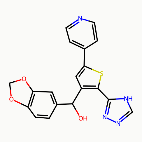 OC(c1ccc2c(c1)OCO2)c1cc(-c2ccncc2)sc1-c1nnc[nH]1